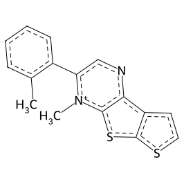 Cc1ccccc1-c1cnc2c3ccsc3sc2[n+]1C